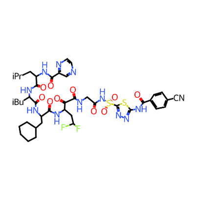 CCC(C)C(NC(=O)C(CC(C)C)NC(=O)c1cnccn1)C(=O)NC(CC1CCCCC1)C(=O)NC(CC(F)F)C(=O)C(=O)NCC(=O)NS(=O)(=O)c1nnc(NC(=O)c2ccc(C#N)cc2)s1